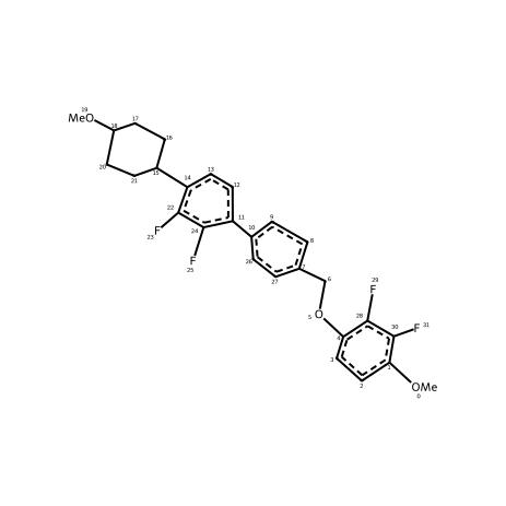 COc1ccc(OCc2ccc(-c3ccc(C4CCC(OC)CC4)c(F)c3F)cc2)c(F)c1F